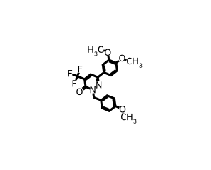 COc1ccc(Cn2nc(-c3ccc(OC)c(OC)c3)cc(C(F)(F)F)c2=O)cc1